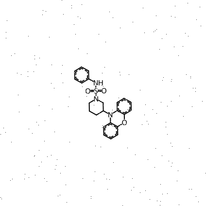 O=S(=O)(Nc1ccccc1)N1CCCC(N2c3ccccc3Oc3ccccc32)C1